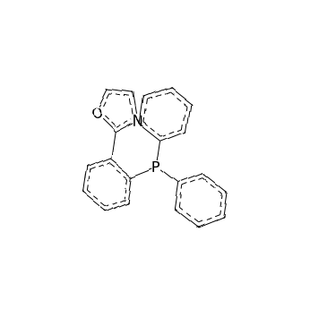 c1ccc(P(c2ccccc2)c2ccccc2-c2ncco2)cc1